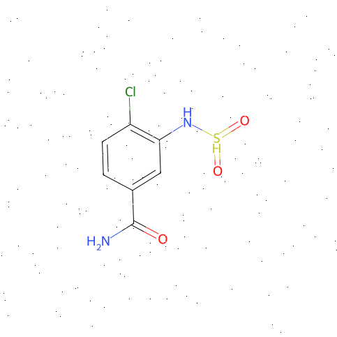 NC(=O)c1ccc(Cl)c(N[SH](=O)=O)c1